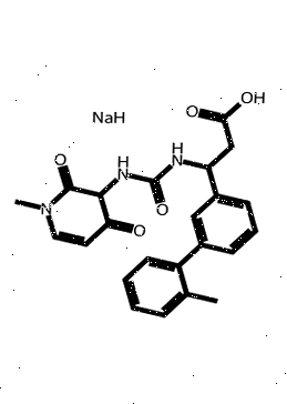 Cc1ccccc1-c1cccc(C(CC(=O)O)NC(=O)NC2C(=O)C=CN(C)C2=O)c1.[NaH]